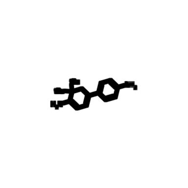 CC(C)(C)C1(C(C)(C)C)CC(c2ccc(N)cc2)=CC=C1N